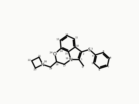 Cc1c(Sc2ccccc2)c2cccc3c2n1CC(CN1CCC1)O3